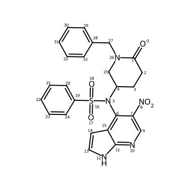 O=C1CCC(N(c2c([N+](=O)[O-])cnc3[nH]ccc23)S(=O)(=O)c2ccccc2)CN1Cc1ccccc1